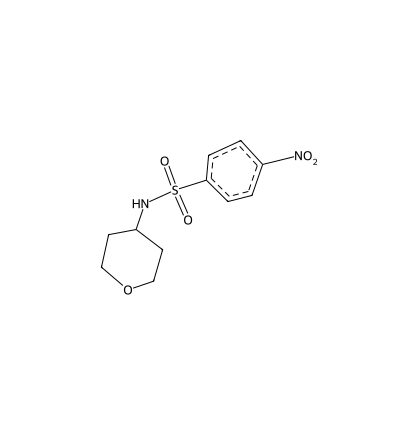 O=[N+]([O-])c1ccc(S(=O)(=O)NC2CCOCC2)cc1